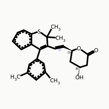 Cc1cc(C)cc(C2=C(/C=C/[C@@H]3C[C@@H](O)CC(=O)O3)C(C)(C)Sc3ccccc32)c1